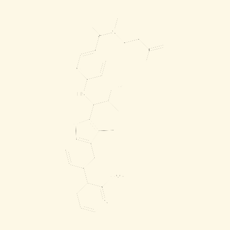 C=C(O)CCN(C)C(=O)c1ccc(NC(c2oc3ccc(-c4cccnc4OC)cc3c2C)C(C)CCCCC)cc1